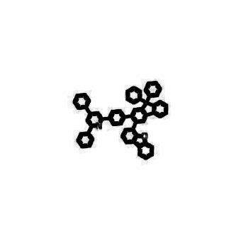 c1ccc(-c2cc(-c3ccccc3)nc(-c3ccc(-c4cc5c(cc4-c4cccc6c4oc4ccccc46)-c4ccccc4C5(c4ccccc4)c4ccccc4)cc3)c2)cc1